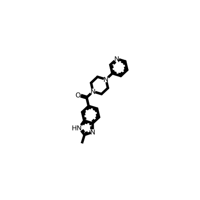 Cc1nc2ccc(C(=O)N3CCN(c4cccnc4)CC3)cc2[nH]1